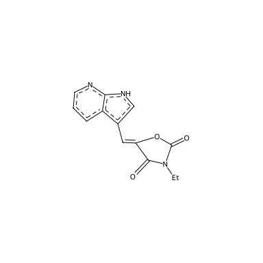 CCN1C(=O)OC(=Cc2c[nH]c3ncccc23)C1=O